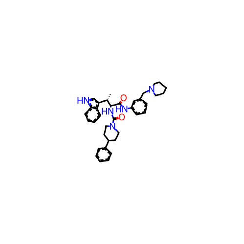 C[C@@H](c1c[nH]c2ccccc12)[C@@H](NC(=O)N1CCC(c2ccccc2)CC1)C(=O)Nc1cccc(CN2CCCCC2)c1